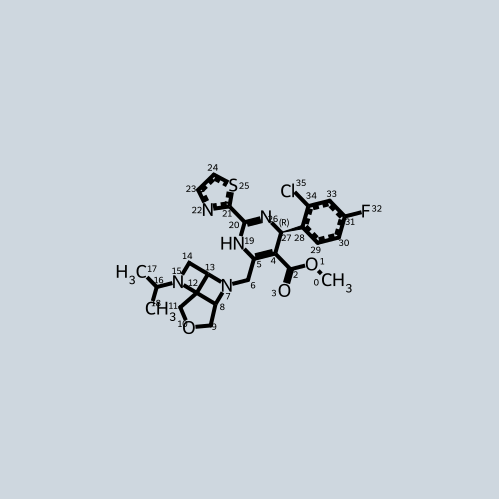 COC(=O)C1=C(CN2C3COCC34C2CN4C(C)C)NC(c2nccs2)=N[C@H]1c1ccc(F)cc1Cl